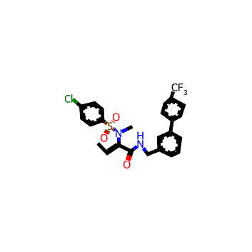 C/C=C(/C(=O)NCc1cccc(-c2ccc(C(F)(F)F)cc2)c1)N(C)S(=O)(=O)c1ccc(Cl)cc1